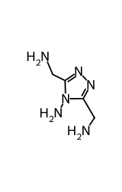 NCc1nnc(CN)n1N